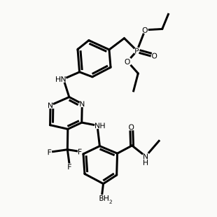 Bc1ccc(Nc2nc(Nc3ccc(CP(=O)(OCC)OCC)cc3)ncc2C(F)(F)F)c(C(=O)NC)c1